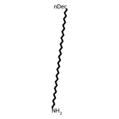 CCCCCCCCCCCCCCCCCCCCCCCCCCCCCCCCCCCCCCCCCCN